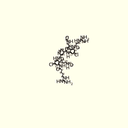 N=C(N)NCCCCC(=O)Nc1cc(Cl)cc(NC(=O)c2cc(C(=O)Nc3cc(Cl)cc(NC(=O)CCNC(=N)N)c3SCCNC=O)ncn2)c1SCCNC=O